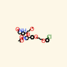 COCCCC(OC1CN(C(=O)OC(C)(C)C)CCC1c1ccc(OCCCCOc2cccc(Cl)c2)cc1)c1ccc2c(c1)NC(=O)CC2